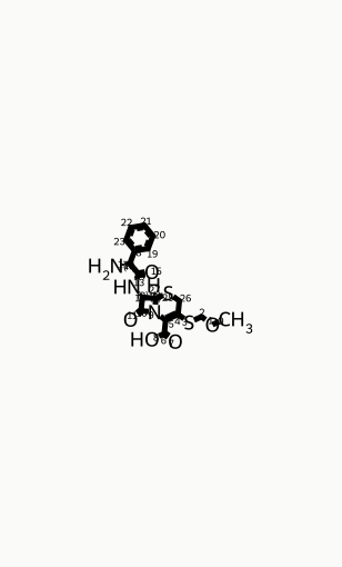 COCSC1=C(C(=O)O)N2C(=O)[C@@H](NC(=O)[C@H](N)c3ccccc3)[C@H]2SC1